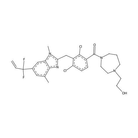 C=CC(F)(F)c1cc(C)c2nc(Cc3c(Cl)ccc(C(=O)N4CCCN(CCO)CC4)c3Cl)n(C)c2c1